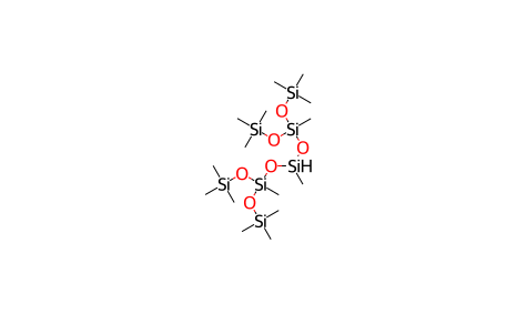 C[SiH](O[Si](C)(O[Si](C)(C)C)O[Si](C)(C)C)O[Si](C)(O[Si](C)(C)C)O[Si](C)(C)C